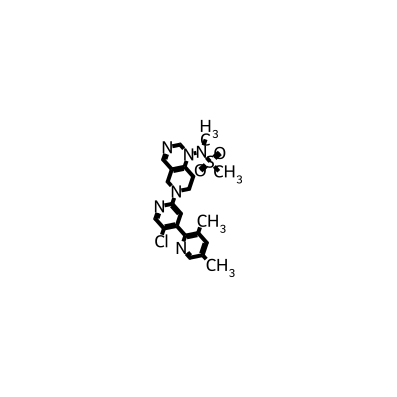 Cc1cnc(-c2cc(N3CCC4=C(C=NCN4N(C)S(C)(=O)=O)C3)ncc2Cl)c(C)c1